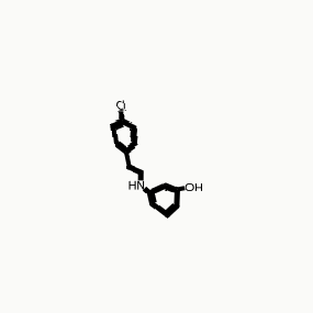 Oc1cccc(NCCc2ccc(Cl)cc2)c1